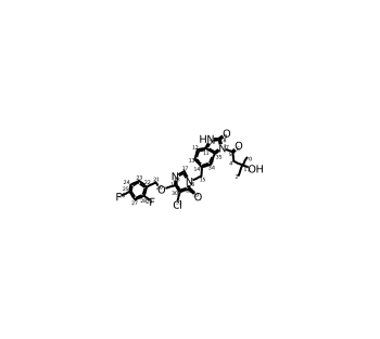 CC(C)(O)CC(=O)n1c(=O)[nH]c2ccc(Cn3cnc(OCc4ccc(F)cc4F)c(Cl)c3=O)cc21